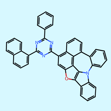 c1ccc(-c2nc(-c3cccc4ccccc34)nc(-c3cc4oc5c6ccccc6n6c7ccccc7c7cccc3c7c4c56)n2)cc1